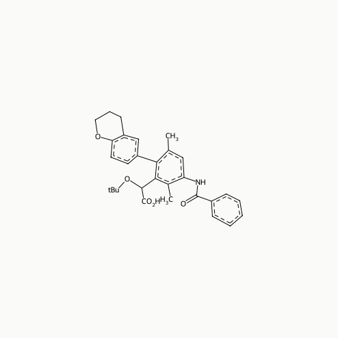 Cc1cc(NC(=O)c2ccccc2)c(C)c(C(OC(C)(C)C)C(=O)O)c1-c1ccc2c(c1)CCCO2